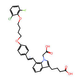 O=C(O)CCCc1cn(CC(=O)O)c2c(/C=C/c3ccc(OCCCCOc4c(F)cccc4Cl)cc3)cccc12